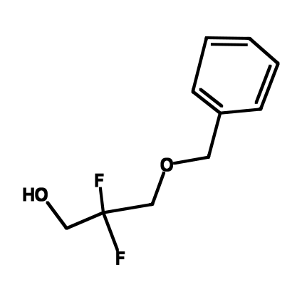 OCC(F)(F)COCc1ccccc1